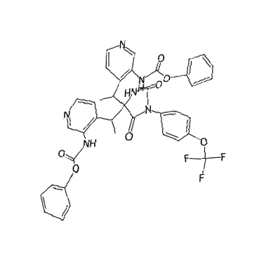 CC(c1ccncc1NC(=O)Oc1ccccc1)C1(C(C)c2ccncc2NC(=O)Oc2ccccc2)NC(=O)N(c2ccc(OC(F)(F)F)cc2)C1=O